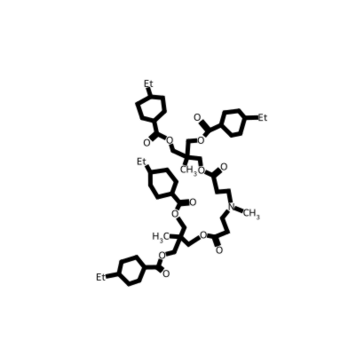 CCC1CCC(C(=O)OCC(C)(COC(=O)CCN(C)CCC(=O)OCC(C)(COC(=O)C2CCC(CC)CC2)COC(=O)C2CCC(CC)CC2)COC(=O)C2CCC(CC)CC2)CC1